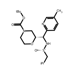 Cc1ccc(C(N[S@@+]([O-])CC(C)C)[C@H]2CN(C(=O)OC(C)(C)C)CCO2)nc1